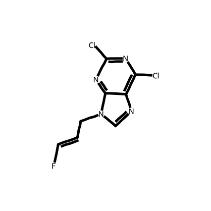 FC=CCn1cnc2c(Cl)nc(Cl)nc21